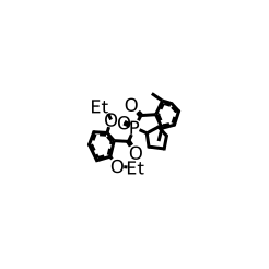 CCOc1cccc(OCC)c1C(=O)P(=O)(C(=O)c1c(C)cccc1C)C1CCCC1